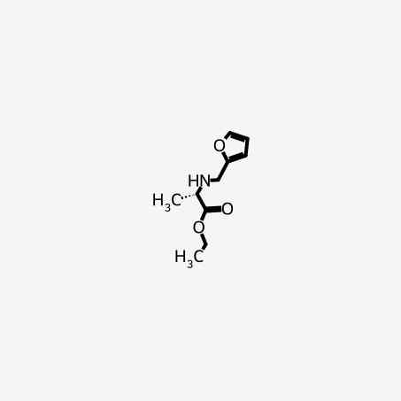 CCOC(=O)[C@H](C)NCc1ccco1